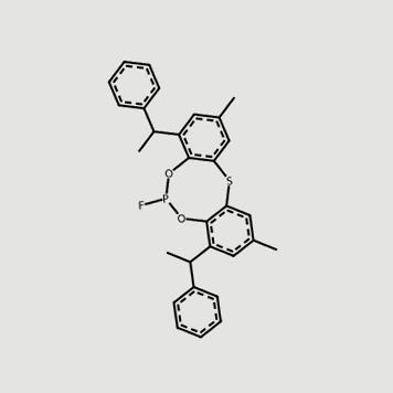 Cc1cc2c(c(C(C)c3ccccc3)c1)OP(F)Oc1c(cc(C)cc1C(C)c1ccccc1)S2